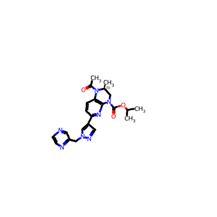 CC(=O)N1c2ccc(-c3cnn(Cc4cnccn4)c3)nc2N(C(=O)OC(C)C)C[C@@H]1C